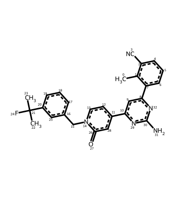 Cc1c(C#N)cccc1-c1cc(-c2ccn(Cc3cccc(C(C)(C)F)c3)c(=O)c2)nc(N)n1